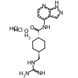 Cl.Cl.N=C(N)NC[C@H]1CC[C@H](C(=O)Nc2ccnc3[nH]ncc23)CC1.O